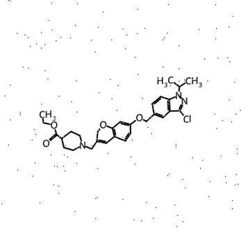 CCOC(=O)C1CCN(CC2=Cc3ccc(OCc4ccc5c(c4)c(Cl)nn5C(C)C)cc3OC2)CC1